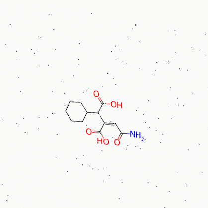 NC(=O)/C=C(\C(=O)O)C(C(=O)O)C1CCCCC1